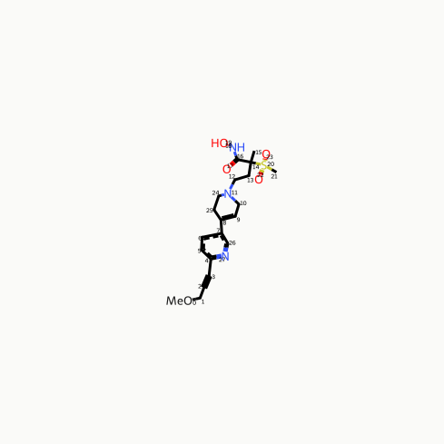 COCC#Cc1ccc(C2=CCN(CCC(C)(C(=O)NO)S(C)(=O)=O)CC2)cn1